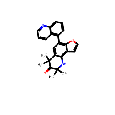 CC1(C)Nc2c(cc(-c3cccc4ncccc34)c3occc23)C(C)(C)C1=O